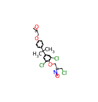 CC(C)(c1ccc(OC[C@H]2CO2)cc1)c1cc(Cl)c(OC[C@@H](CCl)N=O)c(Cl)c1